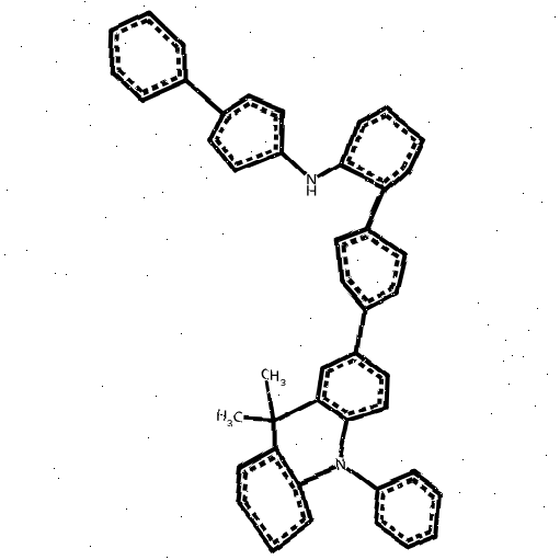 CC1(C)c2ccccc2N(c2ccccc2)c2ccc(-c3ccc(-c4ccccc4Nc4ccc(-c5ccccc5)cc4)cc3)cc21